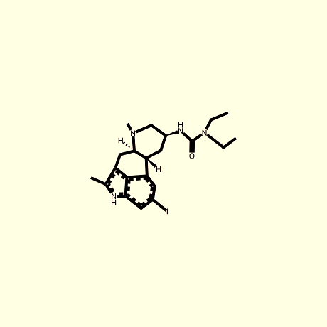 CCN(CC)C(=O)N[C@H]1C[C@@H]2c3cc(I)cc4[nH]c(C)c(c34)C[C@H]2N(C)C1